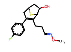 CON=CCCC1=C(c2ccc(F)cc2)CC2CC(O)C1S2